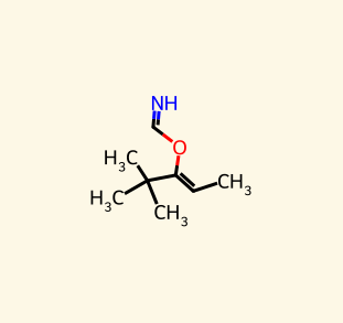 C/C=C(\OC=N)C(C)(C)C